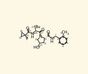 Cc1ccccc1CNC(=O)[C@@H]1C[C@@H](O)CN1C(=O)[C@@H](NC(=O)C1(F)CC1)C(C)(C)C